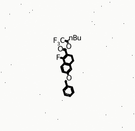 CCCC[C@@H](OC(=O)C1=C(F)c2ccc(OCc3ccccc3)cc2CC1)C(F)(F)F